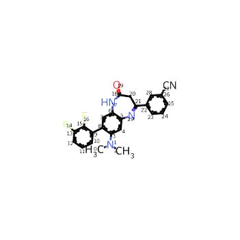 CN(C)c1cc2c(cc1-c1cccc(F)c1F)NC(=O)CC(c1cccc(C#N)c1)=N2